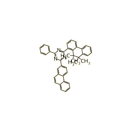 CC1(C)c2ccccc2-c2cccc(-c3nc(-c4ccccc4)nc(-c4ccc5c(ccc6ccccc65)c4)n3)c2C1(C)C